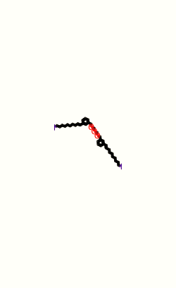 ICCCCCCCCC=Cc1cccc(COCOCOCc2cccc(C=CCCCCCCCCI)c2)c1